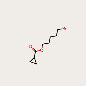 O=C(OCCCCCBr)C1CC1